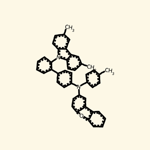 Cc1ccc(N(c2ccc(-c3ccccc3-n3c4ccc(C)cc4c4cc(C)ccc43)cc2)c2ccc3oc4ccccc4c3c2)cc1